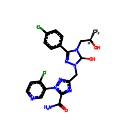 NC(=O)c1nc(CN2N=C(c3ccc(Cl)cc3)N(C[C@H](O)C(F)(F)F)C2O)nn1-c1cnccc1Cl